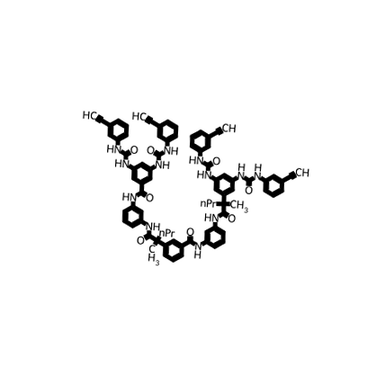 C#Cc1cccc(NC(=O)Nc2cc(NC(=O)Nc3cccc(C#C)c3)cc(C(=O)Nc3cccc(NC(=O)C(C)(CCC)c4cccc(C(=O)Nc5cccc(NC(=O)C(C)(CCC)c6cc(NC(=O)Nc7cccc(C#C)c7)cc(NC(=O)Nc7cccc(C#C)c7)c6)c5)c4)c3)c2)c1